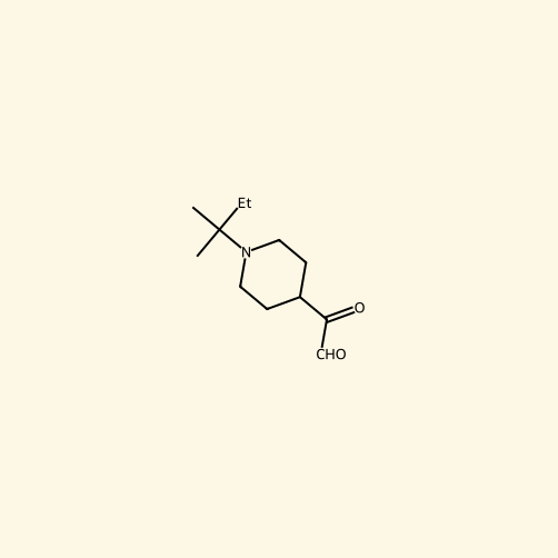 CCC(C)(C)N1CCC(C(=O)C=O)CC1